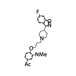 CNc1cc(C(C)=O)ccc1OCCCN1CCC(c2noc3cc(F)ccc23)CC1